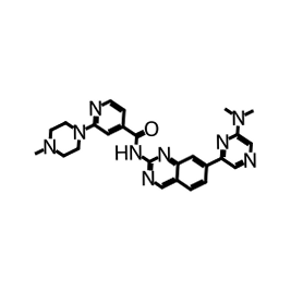 CN1CCN(c2cc(C(=O)Nc3ncc4ccc(-c5cncc(N(C)C)n5)cc4n3)ccn2)CC1